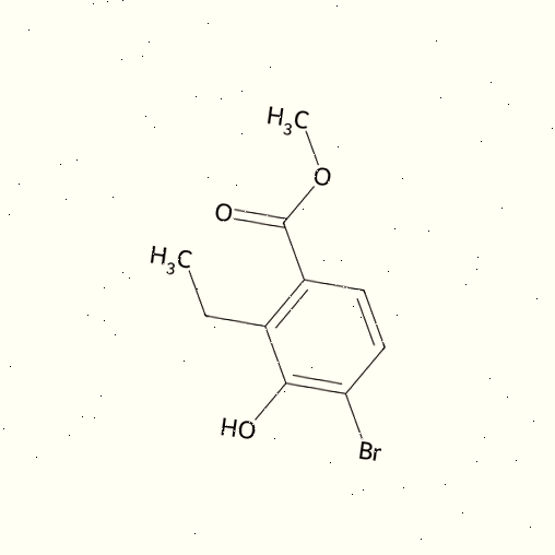 CCc1c(C(=O)OC)ccc(Br)c1O